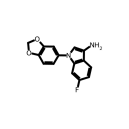 Nc1cn(-c2ccc3c(c2)OCO3)c2cc(F)ccc12